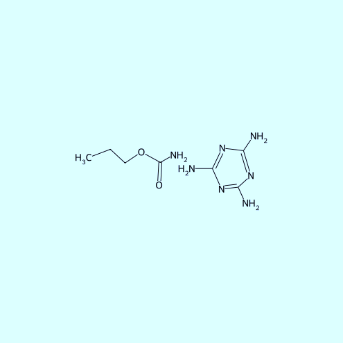 CCCOC(N)=O.Nc1nc(N)nc(N)n1